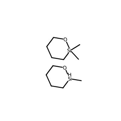 C[SiH]1CCCCO1.C[Si]1(C)CCCCO1